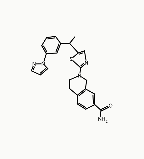 CC(c1cccc(-n2cccn2)c1)c1cnc(N2CCc3ccc(C(N)=O)cc3C2)s1